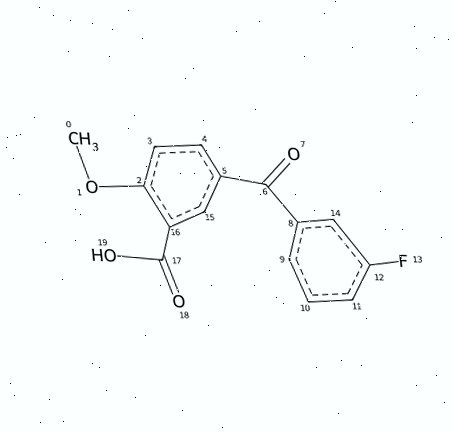 COc1ccc(C(=O)c2cccc(F)c2)cc1C(=O)O